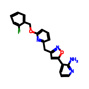 Nc1ncccc1-c1cc(Cc2cccc(OCc3ccccc3F)n2)no1